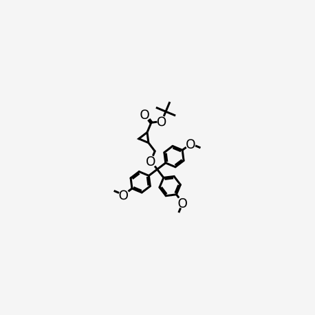 COc1ccc(C(OCC2CC2C(=O)OC(C)(C)C)(c2ccc(OC)cc2)c2ccc(OC)cc2)cc1